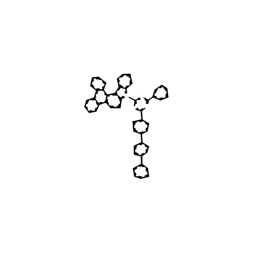 c1ccc(-c2ccc(-c3ccc(-c4nc(-c5ccccc5)nc(-n5c6ccccc6c6c7c8ccccc8c8ccccc8c7ccc65)n4)cc3)cc2)cc1